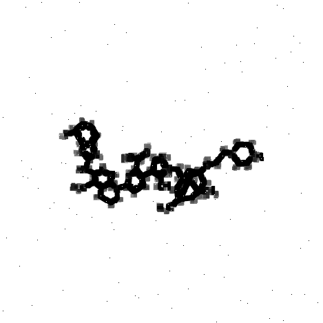 Cc1c(Nc2nc3cccc(F)c3s2)nnc2c1CCCN2c1ccc(-c2cnn(CC34CC5(C)CC(C)(C3)CC(OCCN3CCNCC3)(C5)C4)c2C)c(C(=O)O)n1